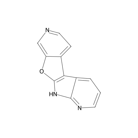 c1cnc2[nH]c3oc4cnccc4c3c2c1